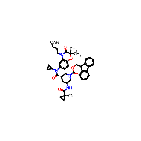 COCCCN1C(=O)C(C)(C)Oc2ccc(N(C(=O)[C@@H]3C[C@H](NC(=O)C4(C#N)CC4)CN(C(=O)OCC4c5ccccc5-c5ccccc54)C3)C3CC3)cc21